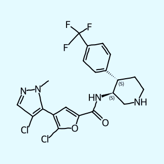 Cn1ncc(Cl)c1-c1cc(C(=O)N[C@@H]2CNCC[C@H]2c2ccc(C(F)(F)F)cc2)oc1Cl